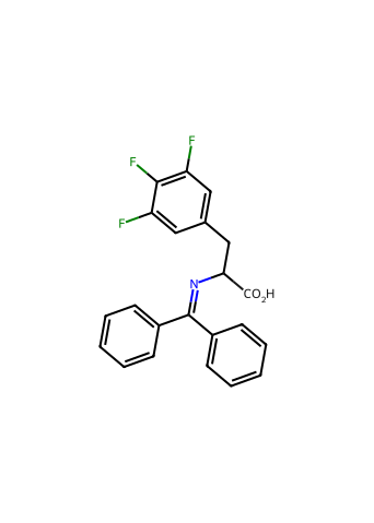 O=C(O)C(Cc1cc(F)c(F)c(F)c1)N=C(c1ccccc1)c1ccccc1